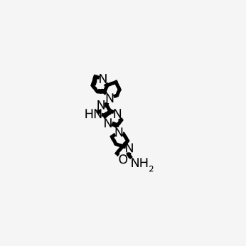 NC1=NC2(CCN(c3cnc4c(N5CCCc6ncccc65)n[nH]c4n3)CC2)CO1